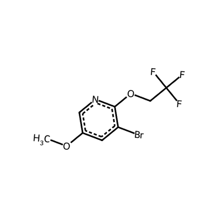 COc1cnc(OCC(F)(F)F)c(Br)c1